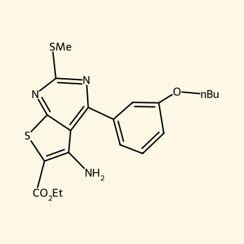 CCCCOc1cccc(-c2nc(SC)nc3sc(C(=O)OCC)c(N)c23)c1